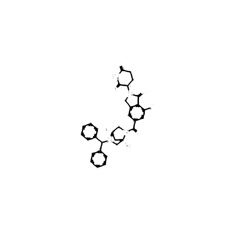 O=C1CCC(N2Cc3cc(C(=O)N4C[C@H]5C[C@@H]4CN5C(c4ccccc4)c4ccccc4)cc(F)c3C2=O)C(=O)N1